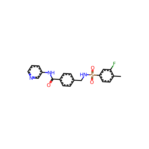 Cc1ccc(S(=O)(=O)NCc2ccc(C(=O)Nc3cccnc3)cc2)cc1F